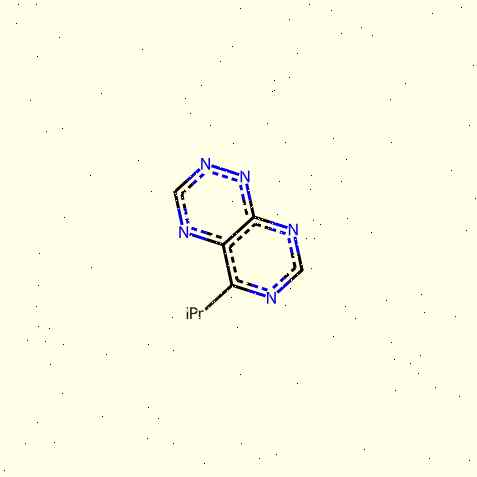 CC(C)c1ncnc2nncnc12